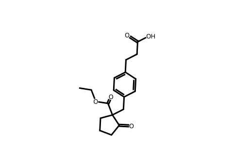 CCOC(=O)C1(Cc2ccc(CCC(=O)O)cc2)CCCC1=O